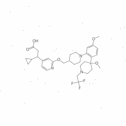 COc1ccc(C2(OC)CCN(CC(F)(F)F)CC2)c(N2CCC(COc3cc(C(CC(=O)O)C4CC4)ccn3)CC2)c1